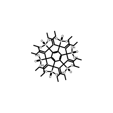 CCCCC(CCCC)(c1c(C(CCCC)(CCCC)P(=O)(O)O)c(C(CCCC)(CCCC)P(=O)(O)O)c(C(CCCC)(CCCC)P(=O)(O)O)c(C(CCCC)(CCCC)P(=O)(O)O)c1C(CCCC)(CCCC)P(=O)(O)O)P(=O)(O)O